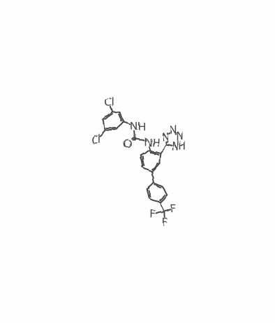 O=C(Nc1cc(Cl)cc(Cl)c1)Nc1ccc(-c2ccc(C(F)(F)F)cc2)cc1-c1nnn[nH]1